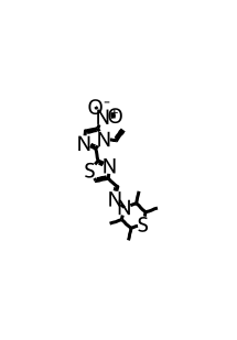 C=Cn1c([N+](=O)[O-])cnc1-c1nc(C=NN2C(C)C(C)SC(C)C2C)cs1